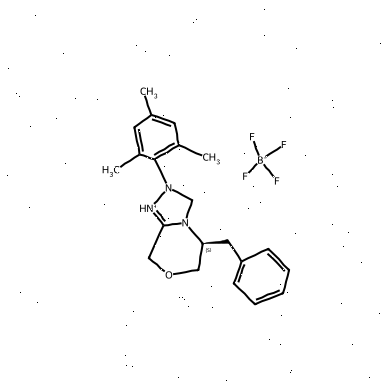 Cc1cc(C)c(N2CN3C(=[NH+]2)COC[C@@H]3Cc2ccccc2)c(C)c1.F[B-](F)(F)F